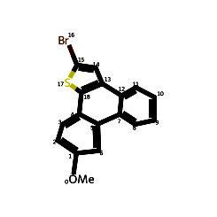 COc1ccc2c(c1)c1ccccc1c1cc(Br)sc21